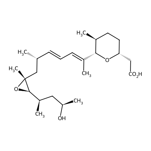 C/C(=C\C=C\[C@@H](C)C[C@@]1(C)O[C@@H]1[C@H](C)C[C@@H](C)O)[C@H]1O[C@@H](CC(=O)O)CC[C@@H]1C